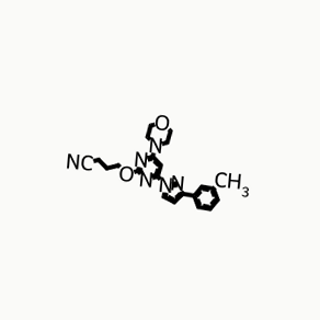 Cc1cccc(-c2ccn(-c3cc(N4CCOCC4)nc(OCCCC#N)n3)n2)c1